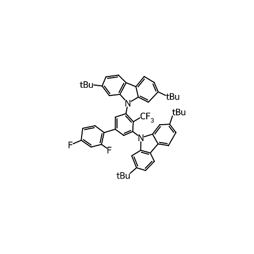 CC(C)(C)c1ccc2c3ccc(C(C)(C)C)cc3n(-c3cc(-c4ccc(F)cc4F)cc(-n4c5cc(C(C)(C)C)ccc5c5ccc(C(C)(C)C)cc54)c3C(F)(F)F)c2c1